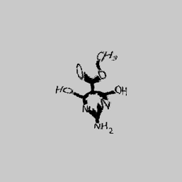 COC(=O)c1c(O)nc(N)nc1O